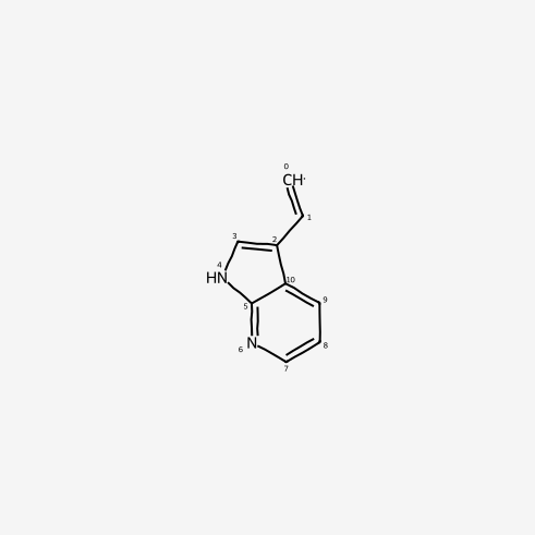 [CH]=Cc1c[nH]c2ncccc12